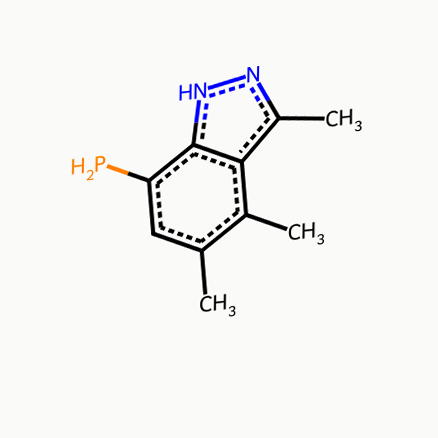 Cc1cc(P)c2[nH]nc(C)c2c1C